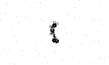 O=C(c1ccc(Cl)c(Cl)c1)N1CCC(F)(CNCCOc2cccc3cccnc23)CC1